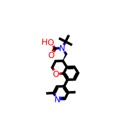 Cc1cc(-c2cccc3c2OCC[C@H]3CN(C(=O)O)C(C)(C)C)c(C)cn1